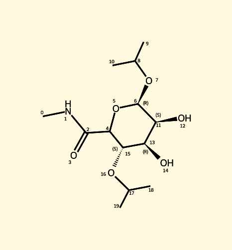 CNC(=O)C1O[C@@H](OC(C)C)[C@@H](O)[C@@H](O)[C@@H]1OC(C)C